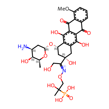 COc1cccc2c1C(=O)c1c(O)c3c(c(O)c1C2=O)C[C@@](O)(/C(CO)=N/OCC(C)(O)P(=O)(O)O)C[C@@H]3O[C@H]1C[C@H](N)[C@H](O)[C@H](C)O1